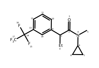 CCC(C(=O)N(C)C1CC1)c1cccc(C(F)(F)C(F)(F)F)c1